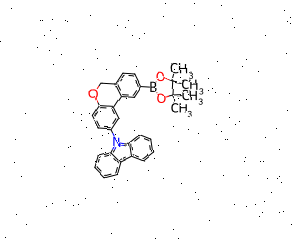 CC1(C)OB(c2ccc3c(c2)-c2cc(-n4c5ccccc5c5ccccc54)ccc2OC3)OC1(C)C